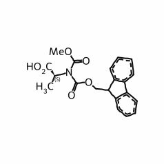 COC(=O)N(C(=O)OCC1c2ccccc2-c2ccccc21)[C@@H](C)C(=O)O